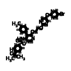 Cc1ccc(-c2c(NS(=O)(=O)c3ccc(C(C)(C)C)cc3)ncnc2OCCOc2ncc(Oc3ncc(Br)cn3)cn2)cc1